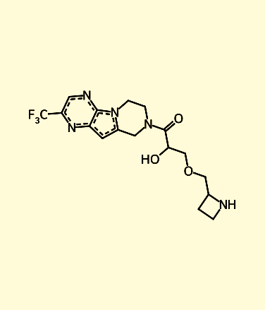 O=C(C(O)COCC1CCN1)N1CCn2c(cc3nc(C(F)(F)F)cnc32)C1